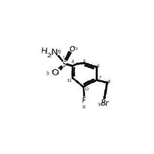 NS(=O)(=O)c1ccc(CBr)c(F)c1